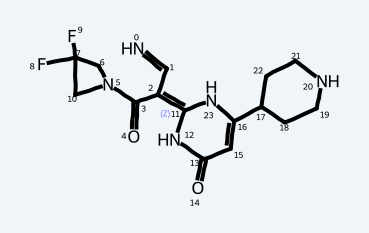 N=C/C(C(=O)N1CC(F)(F)C1)=C1/NC(=O)C=C(C2CCNCC2)N1